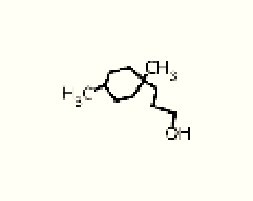 CC1CCC(C)(CCCO)CC1